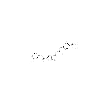 COc1cccc(NC(=O)c2cc3c(NC(=O)Cc4ccc(C(C)(C)C)cc4)n[nH]c3s2)c1